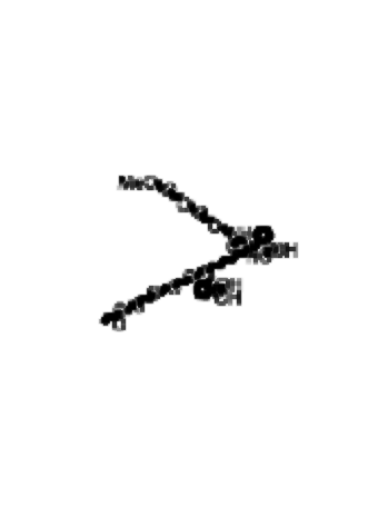 C=CC(=O)OCCOCCOCCOCCOCCN(CCCCCCN(CC(=O)NCCOCCOCCOCCOCCOC)Cc1ccccc1B(O)O)Cc1ccccc1B(O)O